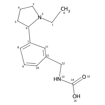 CCN1CCCC1c1cccc(CNC(=O)O)c1